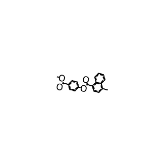 COC(=O)c1ccc(OC(=O)c2ccc(C)c3ccccc23)cc1